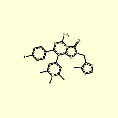 Cc1ocnc1Cn1nc2c(-c3cc(C)[n+]([O-])c(C)c3)c(-c3ccc(F)cc3)nc(N)n2c1=O